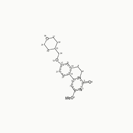 COc1cc2n(c(=O)n1)CCc1cc(OCC3CCOCC3)ccc1-2